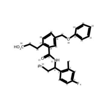 Cc1cc(F)ccc1C(CC(C)C)NC(=O)c1cc(COc2ccccc2)ccc1CCC(=O)O